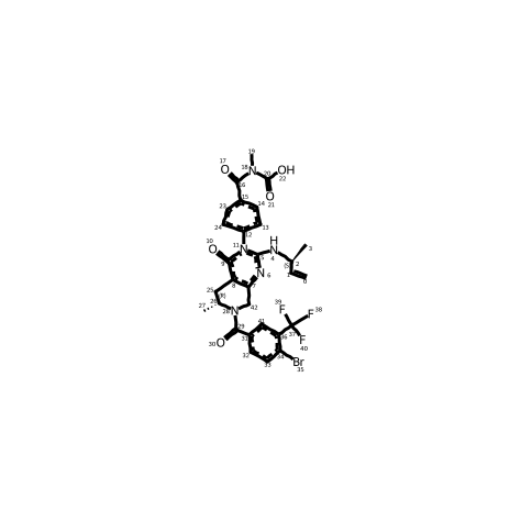 C=C[C@H](C)Nc1nc2c(c(=O)n1-c1ccc(C(=O)N(C)C(=O)O)cc1)C[C@@H](C)N(C(=O)c1ccc(Br)c(C(F)(F)F)c1)C2